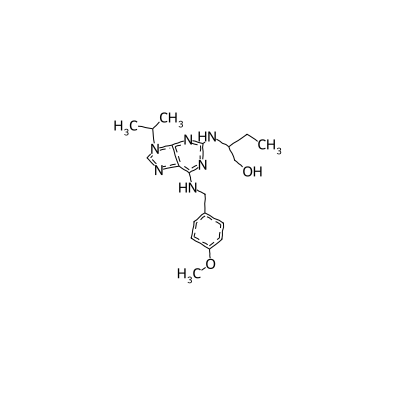 CCC(CO)Nc1nc(NCc2ccc(OC)cc2)c2ncn(C(C)C)c2n1